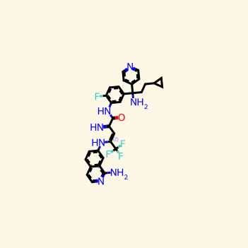 N=C(/C=C(\Nc1ccc2ccnc(N)c2c1)C(F)(F)F)C(=O)Nc1cc(C(N)(CCC2CC2)c2ccncc2)ccc1F